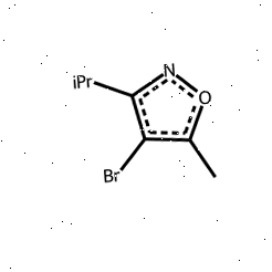 Cc1onc(C(C)C)c1Br